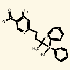 Cc1cc(CCC(C)(C)[Si](O)(c2ccccc2)c2ccccc2)ncc1[N+](=O)[O-]